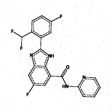 O=C(Nc1ccccn1)c1cc(F)cc2nc(-c3cc(F)ccc3C(F)F)[nH]c12